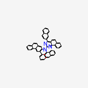 c1ccc(-c2cc3c(ccc4ccccc43)cc2N(c2nc(-c3ccc4ccccc4c3)c3ccc4ccccc4c3n2)c2cccc3ccccc23)cc1